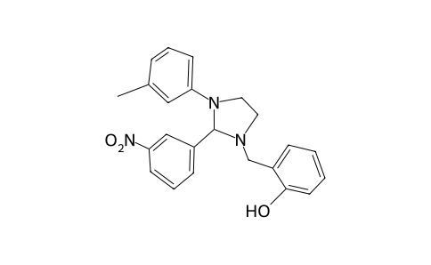 Cc1cccc(N2CCN(Cc3ccccc3O)C2c2cccc([N+](=O)[O-])c2)c1